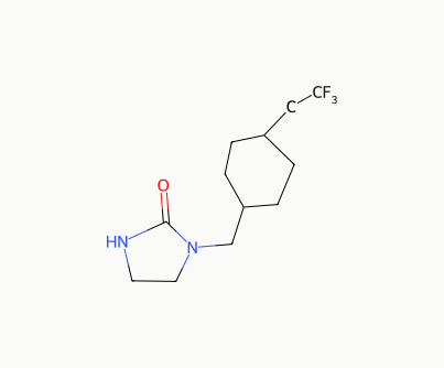 O=C1NCCN1CC1CCC(CC(F)(F)F)CC1